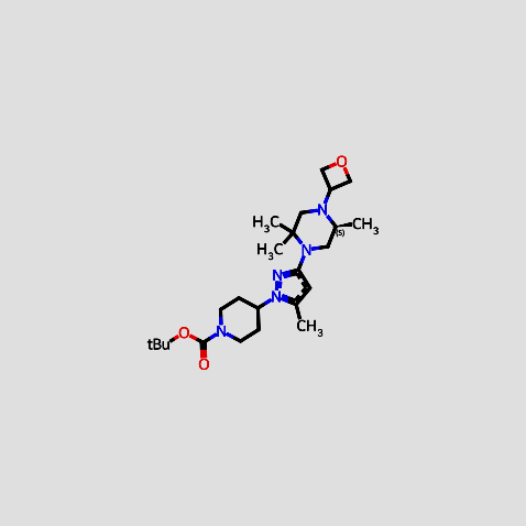 Cc1cc(N2C[C@H](C)N(C3COC3)CC2(C)C)nn1C1CCN(C(=O)OC(C)(C)C)CC1